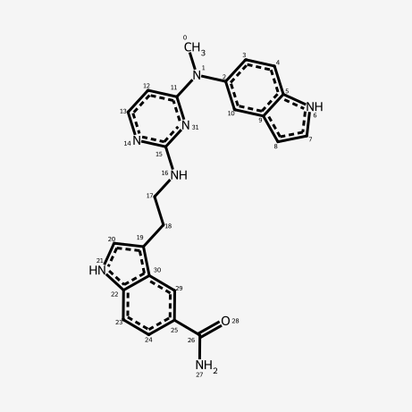 CN(c1ccc2[nH]ccc2c1)c1ccnc(NCCc2c[nH]c3ccc(C(N)=O)cc23)n1